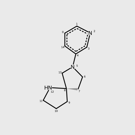 c1cncc(N2CC[C@@]3(CCCN3)C2)c1